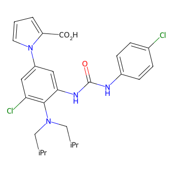 CC(C)CN(CC(C)C)c1c(Cl)cc(-n2cccc2C(=O)O)cc1NC(=O)Nc1ccc(Cl)cc1